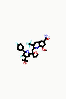 COc1cc(C(N)=O)cc2cc(C(F)(F)F)c(CC3(c4cc(C(C)(C)O)c(F)c(-c5ccc(F)cc5)n4)CCCO3)nc12